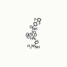 N=C(N)c1csc(CNC(=O)C2CC3(CN2C(=O)CNC(=O)c2ccc(-c4c(F)cccc4F)cc2)OCCO3)c1